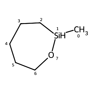 C[SiH]1CCCCCO1